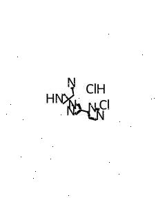 Cl.N#CCC1(n2cc(-c3ccnc(Cl)n3)cn2)CNC1